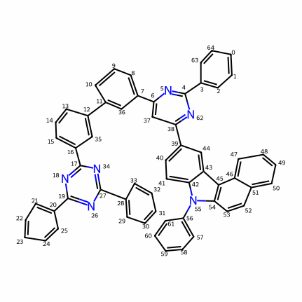 c1ccc(-c2nc(-c3cccc(-c4cccc(-c5nc(-c6ccccc6)nc(-c6ccccc6)n5)c4)c3)cc(-c3ccc4c(c3)c3c5ccccc5ccc3n4-c3ccccc3)n2)cc1